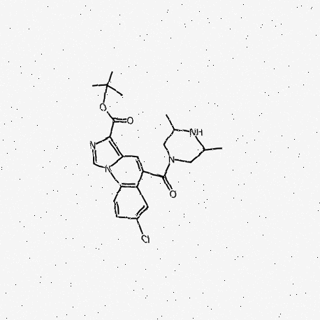 CC1CN(C(=O)c2cc3c(C(=O)OC(C)(C)C)ncn3c3ccc(Cl)cc23)CC(C)N1